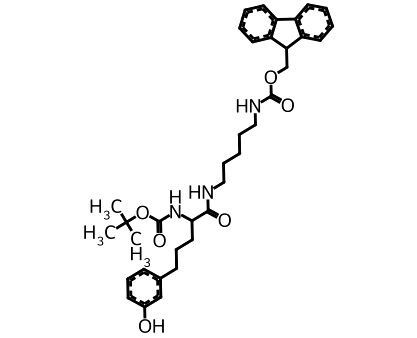 CC(C)(C)OC(=O)NC(CCCc1cccc(O)c1)C(=O)NCCCCCNC(=O)OCC1c2ccccc2-c2ccccc21